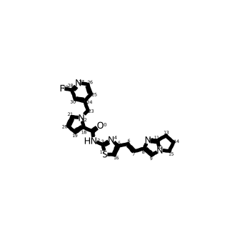 O=C(Nc1nc(C=Cc2cn3c(n2)CCC3)cs1)c1cccn1Cc1ccnc(F)c1